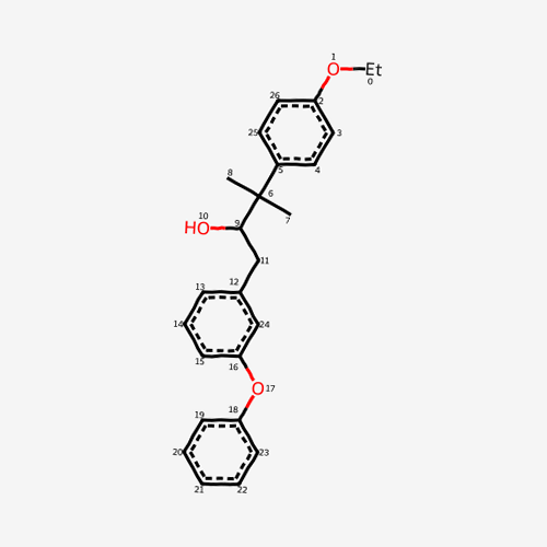 CCOc1ccc(C(C)(C)C(O)Cc2cccc(Oc3ccccc3)c2)cc1